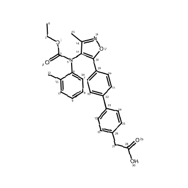 CCOC(=O)N(c1ccccc1C)c1c(C)noc1-c1ccc(-c2ccc(CC(=O)O)cc2)cc1